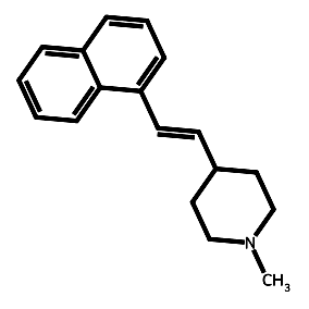 CN1CCC(C=Cc2cccc3ccccc23)CC1